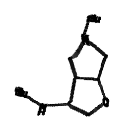 CC(C)(C)NC1COC2CN(C(C)(C)C)CC12